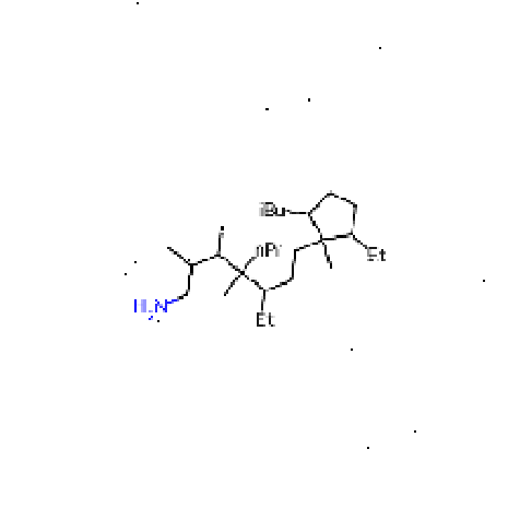 CCCC(C)(C(CC)CCC1(C)C(CC)CCC1C(C)CC)C(C)C(C)CN